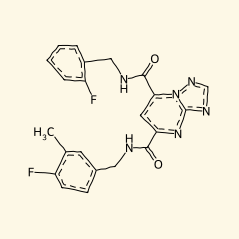 Cc1cc(CNC(=O)c2cc(C(=O)NCc3ccccc3F)n3ncnc3n2)ccc1F